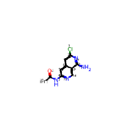 CC(C)C(=O)Nc1cc2cc(Cl)nc(N)c2cn1